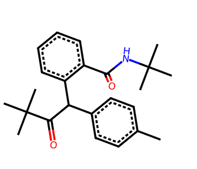 Cc1ccc(C(C(=O)C(C)(C)C)c2ccccc2C(=O)NC(C)(C)C)cc1